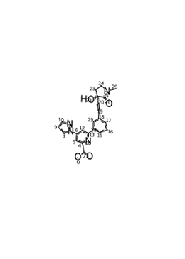 COC(=O)c1cc(-n2cccn2)cc(-c2cccc(C#C[C@]3(O)CCN(C)C3=O)c2)n1